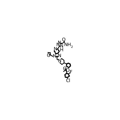 CC1(c2ccc(Cl)cc2F)Oc2cccc(C3CCN(Cc4nc5cc(-c6nnc(C(N)=O)[nH]6)ncc5n4CC4CCO4)CC3)c2O1